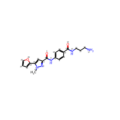 Cn1nc(C(=O)Nc2ccc(C(=O)NCCCN)cc2)cc1-c1ccco1